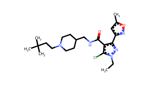 CCn1nc(-c2cc(C)on2)c(C(=O)NCC2CCN(CCC(C)(C)C)CC2)c1Cl